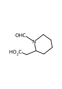 O=[C]N1CCCCC1CC(=O)O